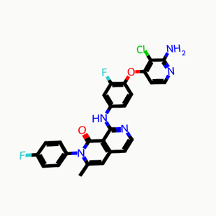 Cc1cc2ccnc(Nc3ccc(Oc4ccnc(N)c4Cl)c(F)c3)c2c(=O)n1-c1ccc(F)cc1